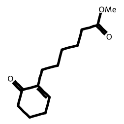 COC(=O)CCCCCC1=CCCCC1=O